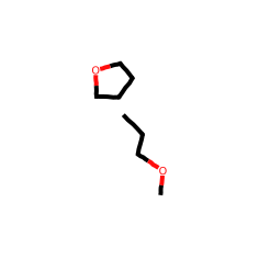 C1CCOC1.CCCOC